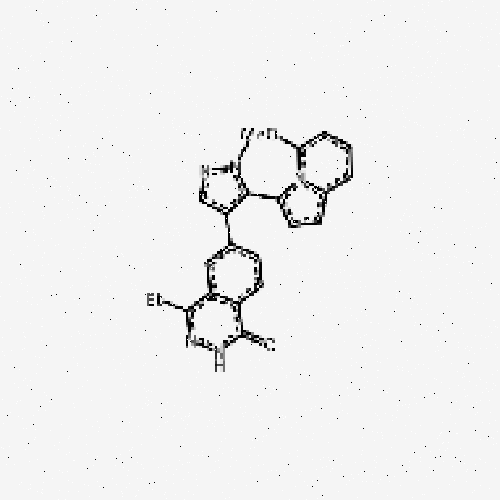 CCc1n[nH]c(=O)c2ccc(-c3cnn(C)c3-c3ccc4cccc(OC)n34)cc12